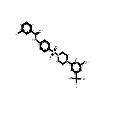 O=C(Nc1ccc(S(=O)(=O)N2CCN(c3cc(C(F)(F)F)cc(Cl)n3)CC2)cc1)c1cccc(I)c1